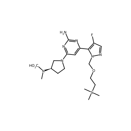 CN(C(=O)O)[C@@H]1CCN(c2cc(-c3c(F)cnn3COCC[Si](C)(C)C)nc(N)n2)C1